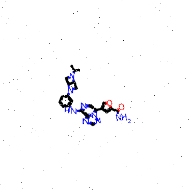 CC(C)N1CC2C1CN2c1cccc(Nc2ncc(-c3coc(C(N)=O)c3)n3ncnc23)c1